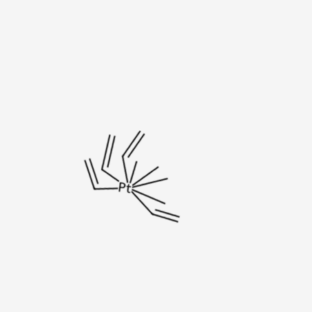 C=[CH][Pt]([CH3])([CH3])([CH3])([CH3])([CH]=C)([CH]=C)[CH]=C